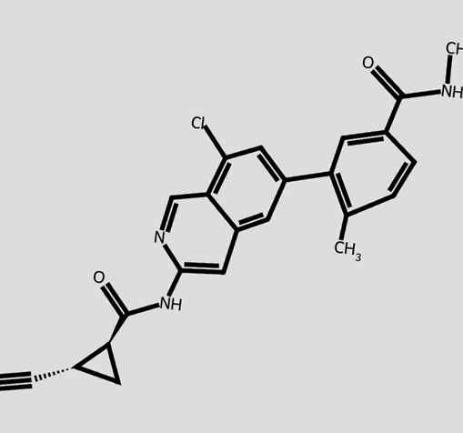 CNC(=O)c1ccc(C)c(-c2cc(Cl)c3cnc(NC(=O)[C@H]4C[C@@H]4C#N)cc3c2)c1